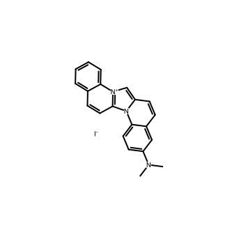 CN(C)c1ccc2c(ccc3c[n+]4c5ccccc5ccc4n32)c1.[I-]